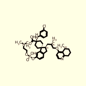 C[C@@H](COc1ccnc2c1[C@H](C)CCC2)C[C@H]1Cc2ccc(OP(=O)(O)OCCN(C)C)cc2[C@]12CC[C@@](Nc1cccc(Cl)c1)(C(=O)O)CC2